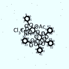 CC(=O)O[C@@H]1[C@@H](OC(=O)c2ccccc2)[C@H](OC(=N)C(Cl)(Cl)Cl)OC[C@H]1O[C@@H]1O[C@H](COC(=O)c2ccccc2)[C@H](OC(=O)c2ccccc2)[C@H](OC(=O)c2ccccc2)[C@H]1OC(=O)c1ccccc1